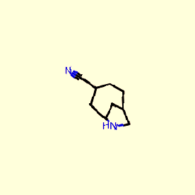 N#CC1CCC2CNC(C1)C2